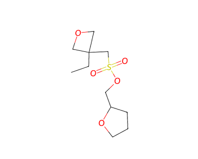 CCC1(CS(=O)(=O)OCC2CCCO2)COC1